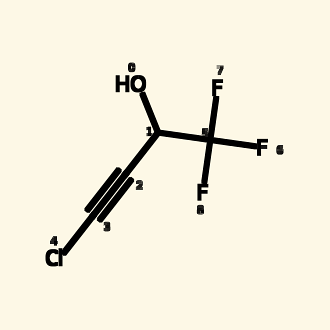 OC(C#CCl)C(F)(F)F